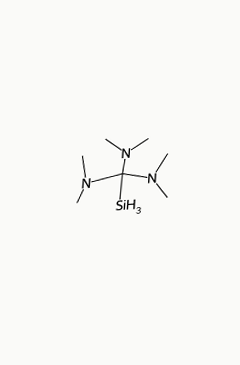 CN(C)C([SiH3])(N(C)C)N(C)C